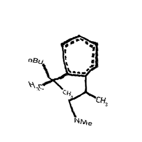 CCCCC(C)(C)c1ccccc1C(C)CNC